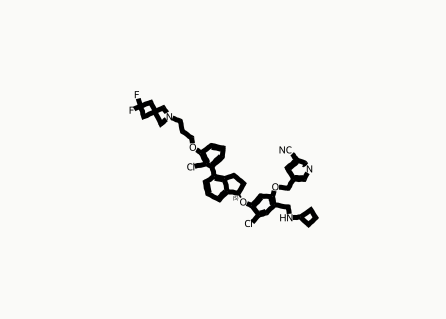 N#Cc1cncc(COc2cc(O[C@H]3CCc4c(-c5cccc(OCCCN6CC7(C6)CC(F)(F)C7)c5Cl)cccc43)c(Cl)cc2CNC2CCC2)c1